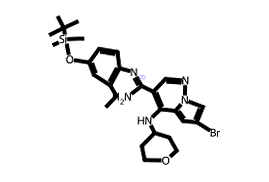 CCc1cc(O[Si](C)(C)C(C)(C)C)ccc1/N=C(\N)c1cnn2cc(Br)cc2c1NC1CCOCC1